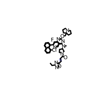 CCc1noc(/C=C/C(=O)N2CCC(N(C)c3nc(OCC45CCCN4CCC5)nc4c(F)c(-c5cccc6cccc(Cl)c56)ncc34)C2)n1